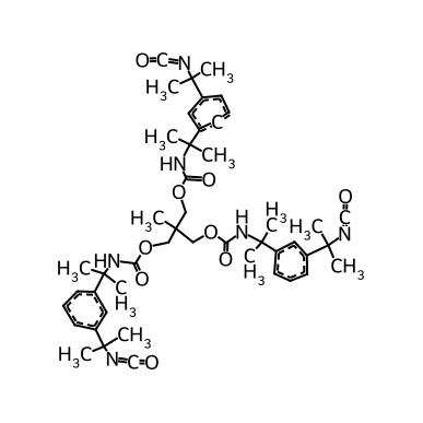 CC(COC(=O)NC(C)(C)c1cccc(C(C)(C)N=C=O)c1)(COC(=O)NC(C)(C)c1cccc(C(C)(C)N=C=O)c1)COC(=O)NC(C)(C)c1cccc(C(C)(C)N=C=O)c1